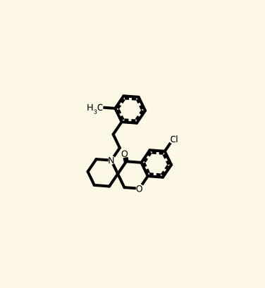 Cc1ccccc1CCN1CCCCC12COc1ccc(Cl)cc1C2=O